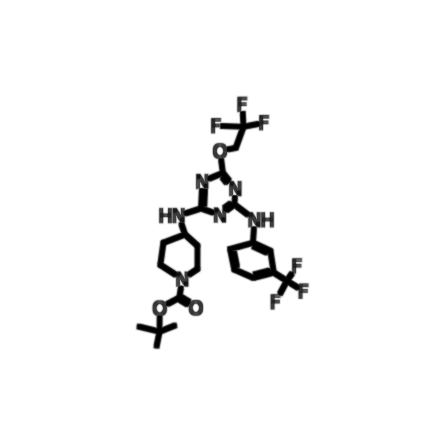 CC(C)(C)OC(=O)N1CCC(Nc2nc(Nc3cccc(C(F)(F)F)c3)nc(OCC(F)(F)F)n2)CC1